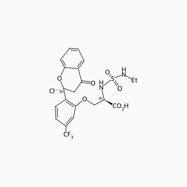 CCNS(=O)(=O)N[C@H](COc1cc(C(F)(F)F)ccc1[C@]1(Cl)CC(=O)c2ccccc2O1)C(=O)O